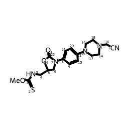 COC(=S)NCC1CN(c2ccc(N3CCN(CC#N)CC3)cc2)C(=O)O1